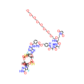 COCCOCCOCCOCCOCCOCCOCCOCCC(=O)N[C@@H](CCCCN1C(=O)C=CC1=O)C(=O)N[C@H](C(=O)N[C@@H](C)C(=O)Nc1ccc(COC(=O)N(C)Cc2ccccc2C(=O)Nc2ncnc3c2ncn3[C@@H]2O[C@@H]3CO[P@@](=O)(S)O[C@@H]4[C@H](O)[C@@H](CO[P@@](=O)(S)O[C@H]3[C@H]2F)O[C@H]4n2cc(F)c3c(=O)[nH]cnc32)cc1)C(C)C